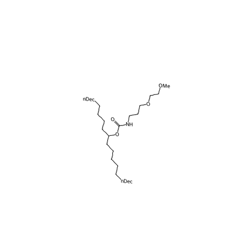 CCCCCCCCCCCCCCCC(CCCCCCCCCCCCCC)OC(=O)NCCCOCCOC